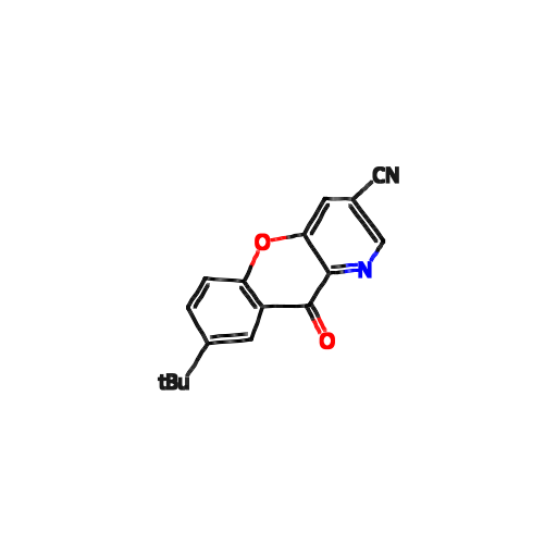 CC(C)(C)c1ccc2oc3cc(C#N)cnc3c(=O)c2c1